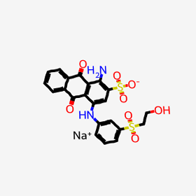 Nc1c(S(=O)(=O)[O-])cc(Nc2cccc(S(=O)(=O)CCO)c2)c2c1C(=O)c1ccccc1C2=O.[Na+]